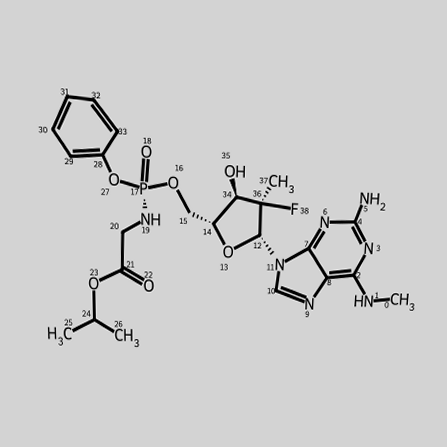 CNc1nc(N)nc2c1ncn2[C@@H]1O[C@H](CO[P@@](=O)(NCC(=O)OC(C)C)Oc2ccccc2)[C@@H](O)[C@@]1(C)F